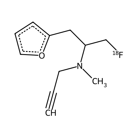 C#CCN(C)C(C[18F])Cc1ccco1